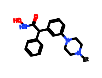 CCN1CCN(c2cccc(C(C(=O)NO)c3ccccc3)c2)CC1